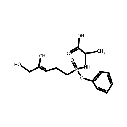 C/C(=C\CCP(=O)(NC(C)C(=O)O)Oc1ccccc1)CO